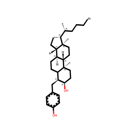 CC(C)CCC[C@@H](C)[C@H]1CC[C@H]2[C@@H]3CCC4[C@H](Cc5ccc(O)cc5)[C@H](O)CC[C@]4(C)[C@H]3CC[C@]12C